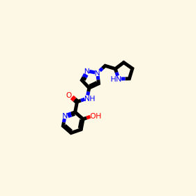 O=C(Nc1cnn(CC2CCCN2)c1)c1ncccc1O